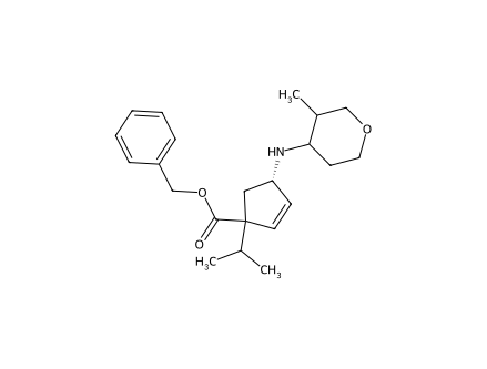 CC1COCCC1N[C@@H]1C=CC(C(=O)OCc2ccccc2)(C(C)C)C1